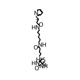 O=C(CCCC[C@@H]1SC[C@@H]2NC(=O)N[C@@H]21)NCCCCCCNC(=O)CCSc1ccccn1